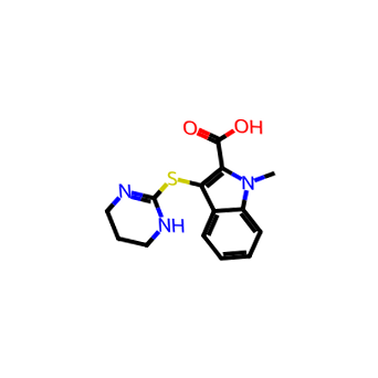 Cn1c(C(=O)O)c(SC2=NCCCN2)c2ccccc21